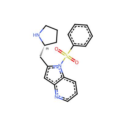 O=S(=O)(c1ccccc1)n1c(C[C@H]2CCCN2)cc2ncccc21